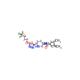 Cc1cc(C(=O)N[Si@H]2CC[C@H](c3nnc(OCCOC(F)(F)F)o3)NC2)sc1C